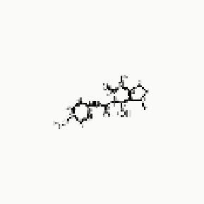 CC1CCc2c1c(O)c(C(=O)Nc1ccc(C(F)(F)F)cn1)c(=O)n2C